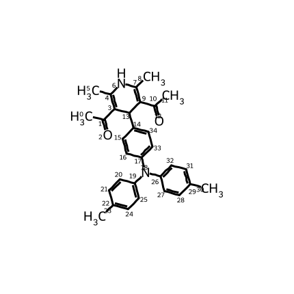 CC(=O)C1=C(C)NC(C)=C(C(C)=O)C1c1ccc(N(c2ccc(C)cc2)c2ccc(C)cc2)cc1